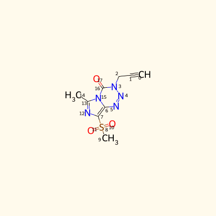 C#CCn1nnc2c(S(C)(=O)=O)nc(C)n2c1=O